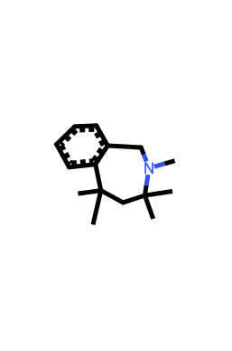 CN1Cc2ccccc2C(C)(C)CC1(C)C